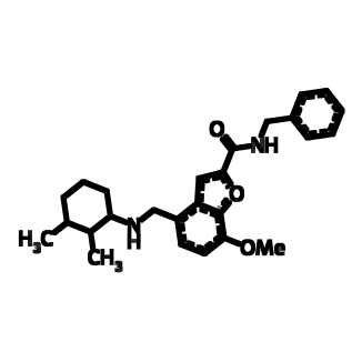 COc1ccc(CNC2CCCC(C)C2C)c2cc(C(=O)NCc3ccccc3)oc12